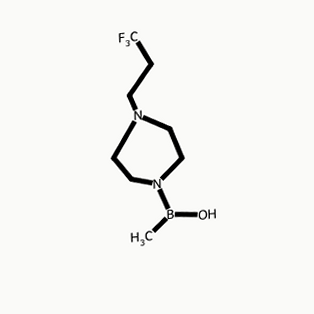 CB(O)N1CCN(CCC(F)(F)F)CC1